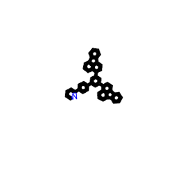 c1ccc(-c2ccc(-c3cc(-c4ccc5c6c(cccc46)-c4ccccc4-5)cc(-c4ccc5c6c(cccc46)-c4ccccc4-5)c3)cc2)nc1